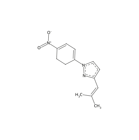 CC(C)=Cc1ccn(C2=CC=C([N+](=O)[O-])CC2)n1